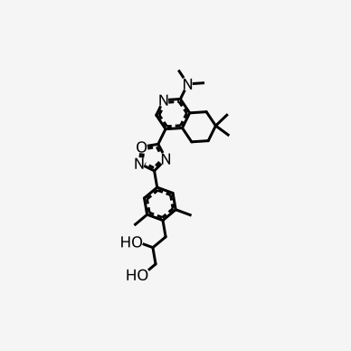 Cc1cc(-c2noc(-c3cnc(N(C)C)c4c3CCC(C)(C)C4)n2)cc(C)c1CC(O)CO